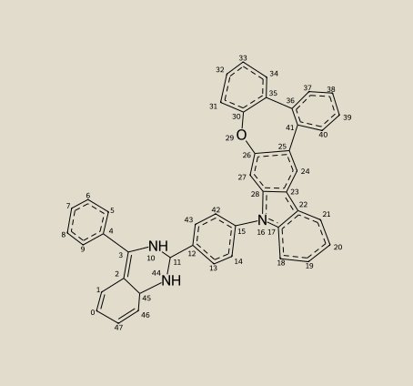 C1=CC2=C(c3ccccc3)NC(c3ccc(-n4c5ccccc5c5cc6c(cc54)Oc4ccccc4-c4ccccc4-6)cc3)NC2C=C1